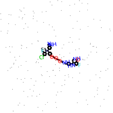 CC/C(=C(/c1ccc(OCCOCCOCCNCc2ccc(-c3[nH]c4cc(F)cc5c4c3CCNC5=O)cc2)cc1)c1ccc2[nH]ncc2c1)c1ccc(Cl)cc1F